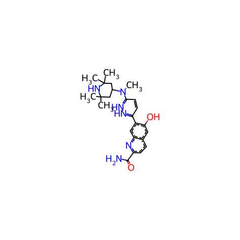 CN(C(=N)/C=C\C(=N)c1cc2nc(C(N)=O)ccc2cc1O)C1CC(C)(C)NC(C)(C)C1